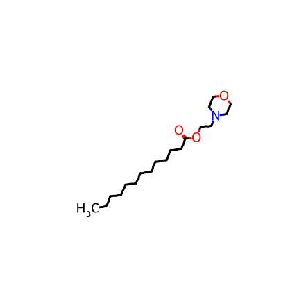 CCCCCCCCCCCCC(=O)OCCN1CCOCC1